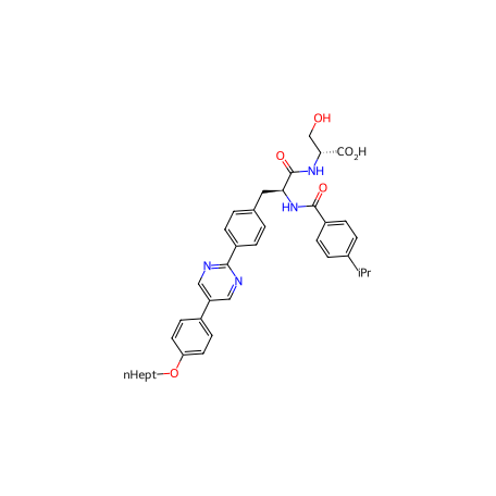 CCCCCCCOc1ccc(-c2cnc(-c3ccc(C[C@H](NC(=O)c4ccc(C(C)C)cc4)C(=O)N[C@H](CO)C(=O)O)cc3)nc2)cc1